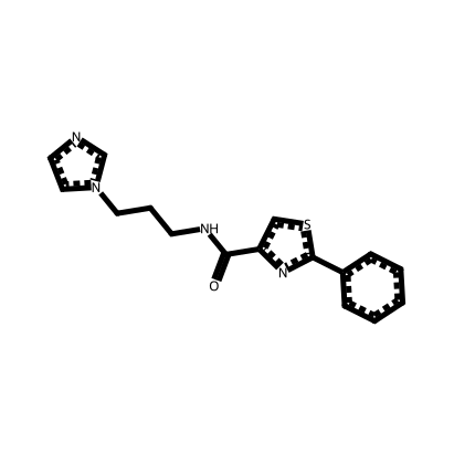 O=C(NCCCn1ccnc1)c1csc(-c2ccccc2)n1